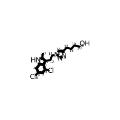 Cc1[nH]c2cc(Cl)cc(Cl)c2c1CCn1cc(CCCCO)nn1